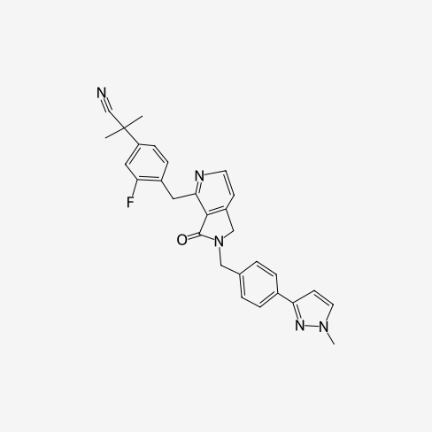 Cn1ccc(-c2ccc(CN3Cc4ccnc(Cc5ccc(C(C)(C)C#N)cc5F)c4C3=O)cc2)n1